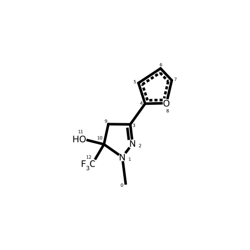 CN1N=C(c2ccco2)CC1(O)C(F)(F)F